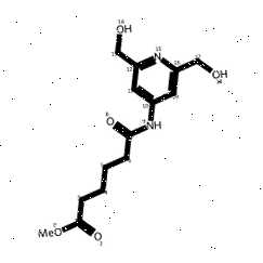 COC(=O)CCCCC(=O)Nc1cc(CO)nc(CO)c1